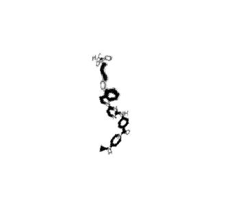 CS(=O)(=O)CCCOc1cccc2c1ccn2-c1ccnc(NC2CCC(C(=O)N3CCC(NC4CC4)CC3)CC2)n1